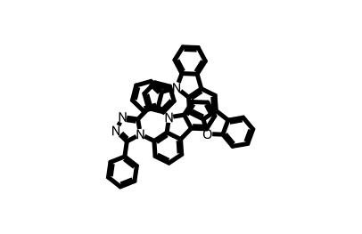 c1ccc(-c2nnc(-c3ccccc3)n2-c2cccc3c4ccccc4n(-c4ccccc4-n4c5ccccc5c5cc6c(cc54)oc4ccccc46)c23)cc1